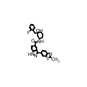 Cc1nc2ccc(-c3n[nH]c4ccc(C(=O)N[C@@H]5CCC[C@@](O)(Cc6ccccc6F)C5)cc34)cc2s1